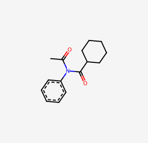 CC(=O)N(C(=O)C1CCCCC1)c1ccccc1